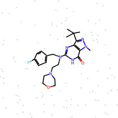 Cn1nc(C(C)(C)C)c2nc(N(CCN3CCOCC3)Cc3ccc(F)cc3)[nH]c(=O)c21